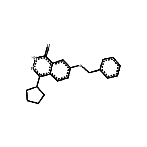 O=c1[nH]nc(C2CCCC2)c2ccc(SCc3ccccc3)cc12